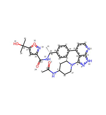 CC(=O)NC1CCN(c2n[nH]c3nccc(-c4ccc([C@@H](C)NC(=O)c5cc(C(C)(C)O)on5)cc4)c23)CC1